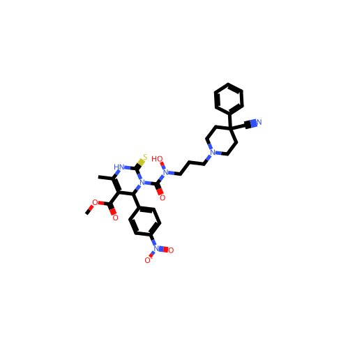 COC(=O)C1=C(C)NC(=S)N(C(=O)N(O)CCCN2CCC(C#N)(c3ccccc3)CC2)C1c1ccc([N+](=O)[O-])cc1